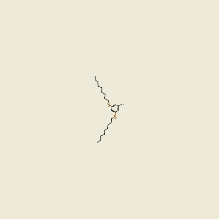 [CH2]c1cc(SCCCCCCCCC)cc(SCCCCCCCCC)c1